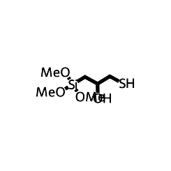 CO[Si](CC(O)CS)(OC)OC